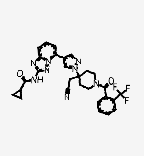 N#CCC1(n2cc(-c3cccc4nc(NC(=O)C5CC5)nn34)cn2)CCN(C(=O)c2ccccc2C(F)(F)F)CC1